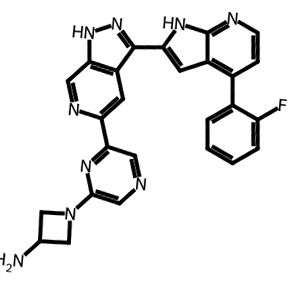 NC1CN(c2cncc(-c3cc4c(-c5cc6c(-c7ccccc7F)ccnc6[nH]5)n[nH]c4cn3)n2)C1